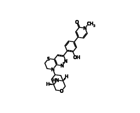 Cn1ccc(-c2ccc(-c3cc4c(nn3)N(C3C[C@H]5COC[C@@H](C3)N5)CCS4)c(O)c2)cc1=O